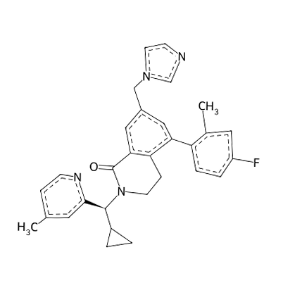 Cc1ccnc([C@H](C2CC2)N2CCc3c(cc(Cn4ccnc4)cc3-c3ccc(F)cc3C)C2=O)c1